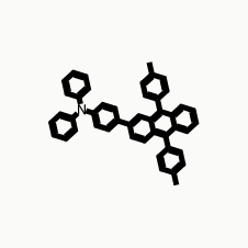 Cc1ccc(-c2c3ccccc3c(-c3ccc(C)cc3)c3cc(-c4ccc(N(c5ccccc5)c5ccccc5)cc4)ccc23)cc1